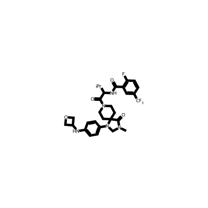 CC(C)C(NC(=O)c1cc(C(F)(F)F)ccc1F)C(=O)N1CCC2(CC1)C(=O)N(C)CN2c1ccc(NC2COC2)cc1